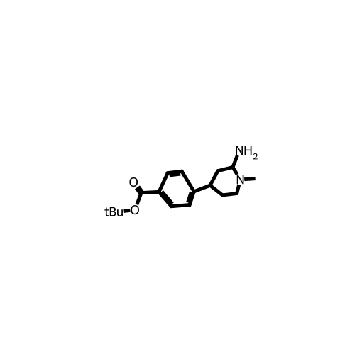 CN1CCC(c2ccc(C(=O)OC(C)(C)C)cc2)CC1N